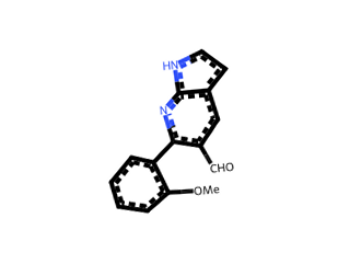 COc1ccccc1-c1nc2[nH]ccc2cc1C=O